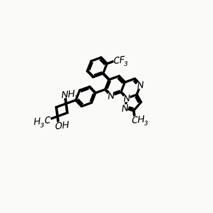 Cc1cc2ncc3cc(-c4ccccc4C(F)(F)F)c(-c4ccc(C5(N)CC(C)(O)C5)cc4)nc3n2n1